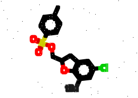 Cc1ccc(S(=O)(=O)OCC2Cc3cc(Cl)cc(C(C)(C)C)c3O2)cc1